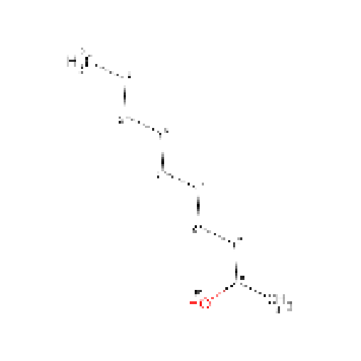 CCCCCC[CH]CC(C)O